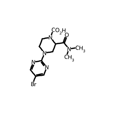 CN(C)C(=O)C1CN(c2ncc(Br)cn2)CCN1C(=O)O